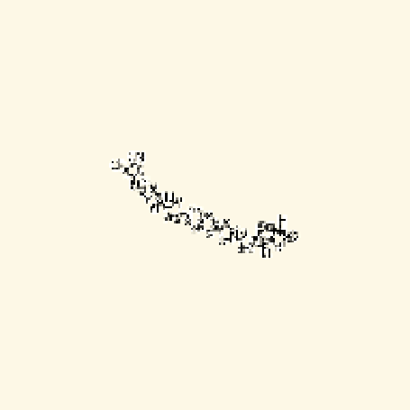 N#Cc1ccc(O[C@H]2CC[C@H](NC(=O)c3ccc(N4CCC5(CC4)CCN(C4CCN(c6ccc7c(c6)C(=O)N(C6CCC(=O)NC6=O)C7=O)CC4)CC5)cc3)CC2)cc1Cl